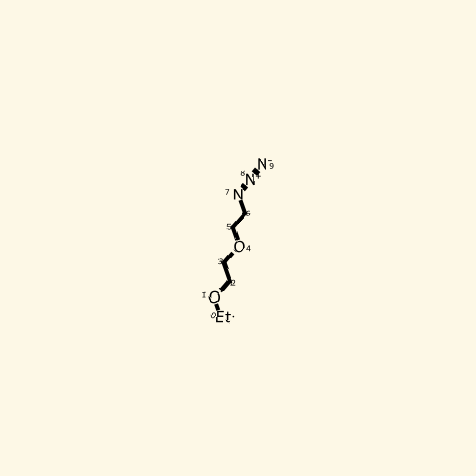 C[CH]OCCOCCN=[N+]=[N-]